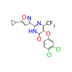 O=c1[nH]c(-c2cc(C3CC3)on2)nc(C(F)(F)F)c1Oc1ccc(Cl)c(Cl)c1